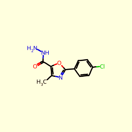 Cc1nc(-c2ccc(Cl)cc2)oc1C(=O)NN